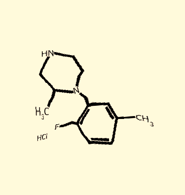 Cc1ccc(F)c(N2CCNCC2C)c1.Cl